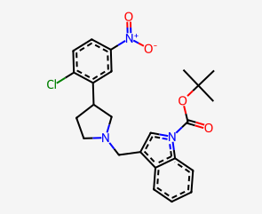 CC(C)(C)OC(=O)n1cc(CN2CCC(c3cc([N+](=O)[O-])ccc3Cl)C2)c2ccccc21